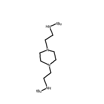 CC(C)(C)NCCN1CCN(CCNC(C)(C)C)CC1